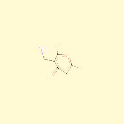 Cc1cc(=O)c(CN)c(C)o1